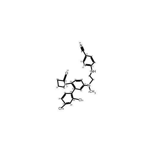 CN(CCNc1ccc(C#N)cn1)c1ccc(N2CCCC2=O)c(-c2ccc(Cl)cc2Cl)c1